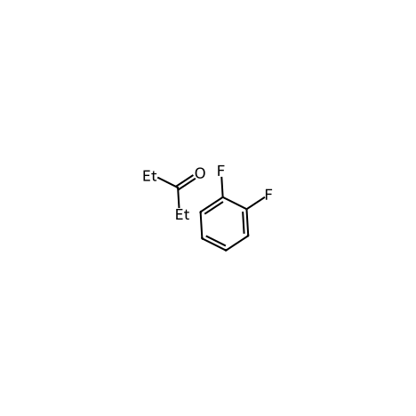 CCC(=O)CC.Fc1ccccc1F